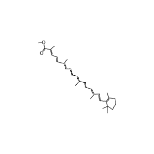 COC(=O)/C(C)=C/C=C/C(C)=C/C=C/C=C(C)/C=C/C=C(C)/C=C/C1=C(C)CCCC1(C)C